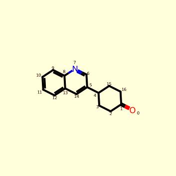 O=C1CCC(c2cnc3ccccc3c2)CC1